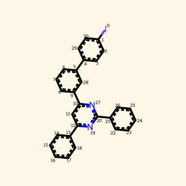 Ic1ccc(-c2cccc(-c3cc(-c4ccccc4)nc(-c4ccccc4)n3)c2)cc1